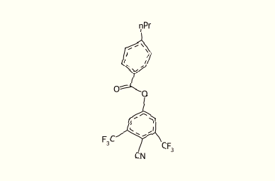 CCCc1ccc(C(=O)Oc2cc(C(F)(F)F)c(C#N)c(C(F)(F)F)c2)cc1